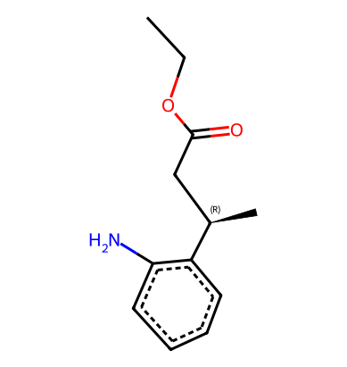 CCOC(=O)C[C@@H](C)c1ccccc1N